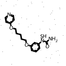 NC(=O)N(S)c1cccc(OCCCCCOc2ccncc2)c1